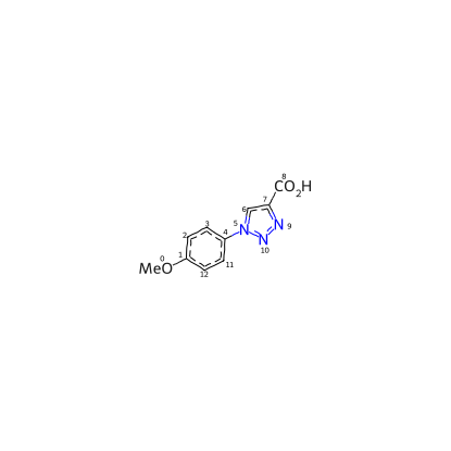 COc1ccc(-n2cc(C(=O)O)nn2)cc1